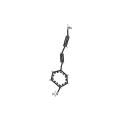 CC(C)(C)C#CC#Cc1ccc(N)cc1